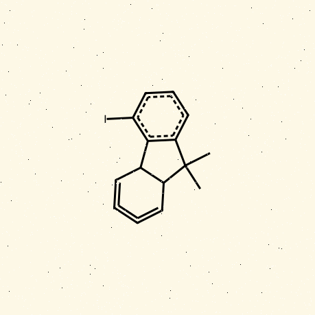 CC1(C)c2cccc(I)c2C2C=C=C=CC21